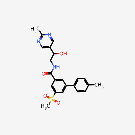 Cc1ccc(-c2cc(C(=O)NCC(O)c3cnc(C)nc3)cc(S(C)(=O)=O)c2)cc1